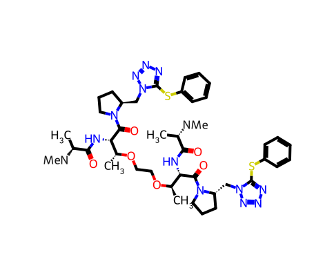 CN[C@@H](C)C(=O)N[C@H](C(=O)N1CCC[C@H]1Cn1nnnc1Sc1ccccc1)[C@@H](C)OCCO[C@H](C)[C@H](NC(=O)[C@H](C)NC)C(=O)N1CCC[C@H]1Cn1nnnc1Sc1ccccc1